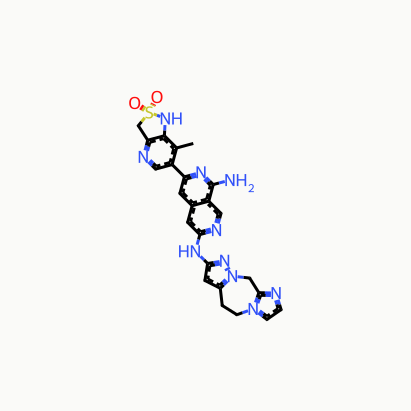 Cc1c(-c2cc3cc(Nc4cc5n(n4)Cc4nccn4CC5)ncc3c(N)n2)cnc2c1NS(=O)(=O)C2